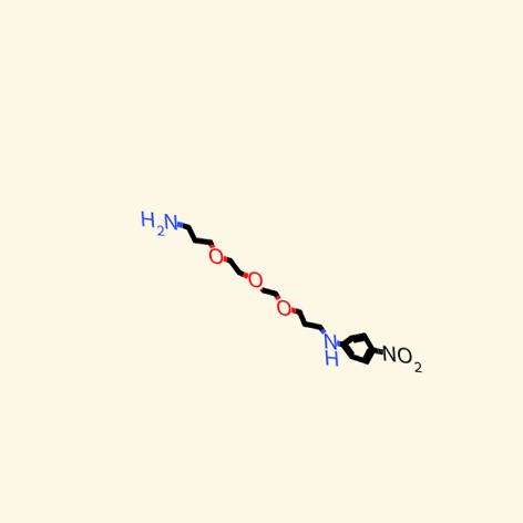 NCCCOCCOCCOCCCNc1ccc([N+](=O)[O-])cc1